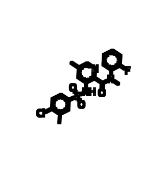 Cc1cnc(C(=O)N(C)c2ccccc2F)c(NS(=O)(=O)c2ccc(Cl)c(C)c2)c1